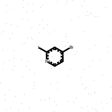 Brc1ccnc(I)c1